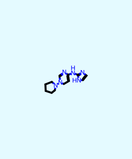 C1=NC(Nc2ncc[nH]2)=CCN1N1CCCCC1